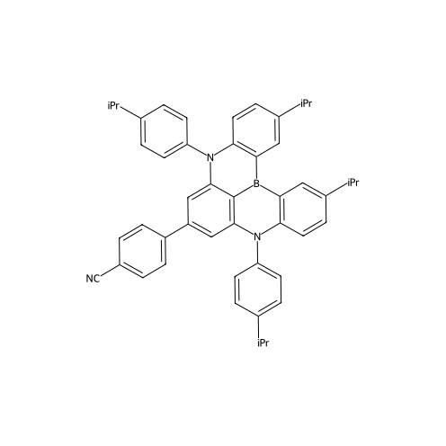 CC(C)c1ccc(N2c3ccc(C(C)C)cc3B3c4cc(C(C)C)ccc4N(c4ccc(C(C)C)cc4)c4cc(-c5ccc(C#N)cc5)cc2c43)cc1